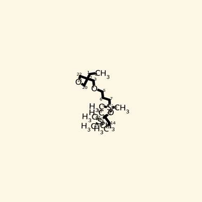 CCC1(COCCC[Si](C)(C)OC(C)(CC)[Si](C)(C)C)COC1